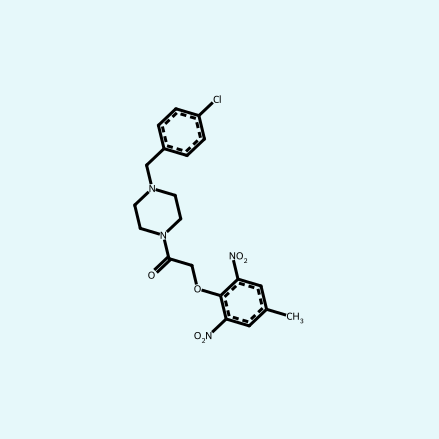 Cc1cc([N+](=O)[O-])c(OCC(=O)N2CCN(Cc3ccc(Cl)cc3)CC2)c([N+](=O)[O-])c1